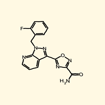 NC(=O)c1noc(-c2nn(Cc3ccccc3F)c3ncccc23)n1